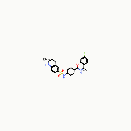 CC[C@@H]1CCc2cc(S(=O)(=O)NC3CCC(C(=O)N[C@H](C)c4ccc(F)cc4)CC3)ccc2N1